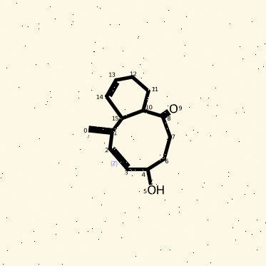 C=C1/C=C\C(O)CCC(=O)C2CCC=CC12